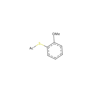 COc1ccccc1SC(C)=O